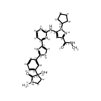 CNC(=O)c1cc(Nc2nccc(-c3csc(-c4cccc([C@]5(O)CCN(C)C5=O)c4)n3)n2)n(C2CCCC2)n1